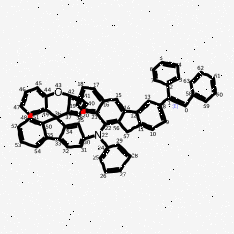 C(=C(/c1ccccc1)c1ccc2c(c1)-c1cc3ccccc3c(N(c3ccccc3)c3ccc4c(c3)C3(c5ccccc5Oc5ccccc53)c3ccccc3-4)c1C2)/c1ccccc1